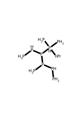 CCC[PH](P)(P)P(PP)P(P)PP